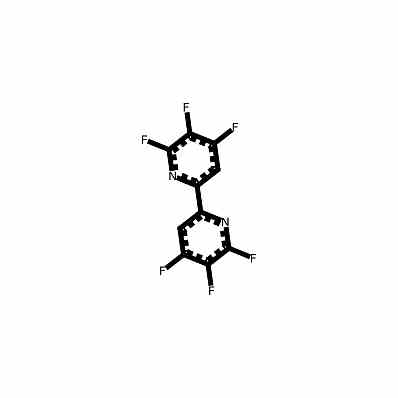 Fc1cc(-c2cc(F)c(F)c(F)n2)nc(F)c1F